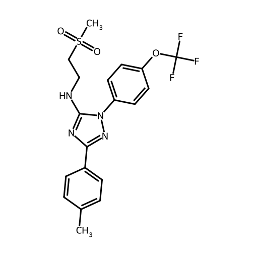 Cc1ccc(-c2nc(NCCS(C)(=O)=O)n(-c3ccc(OC(F)(F)F)cc3)n2)cc1